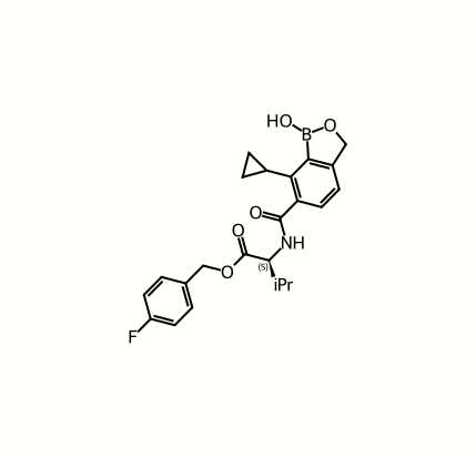 CC(C)[C@H](NC(=O)c1ccc2c(c1C1CC1)B(O)OC2)C(=O)OCc1ccc(F)cc1